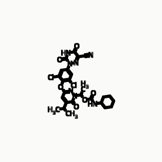 CC(C)c1cc(Oc2c(Cl)cc(-n3nc(C#N)c(=O)[nH]c3=O)cc2Cl)nn(C(C)OC(=O)NC2CCCCC2)c1=O